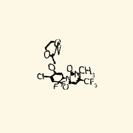 Cn1c(C(F)(F)F)cc(=O)n(C2C=C(OCC3=NOCCO3)C(Cl)=CC2(F)F)c1=O